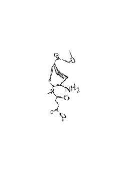 COC(=O)CCC(=O)N(C)c1ccc(C(=O)OC)cc1N